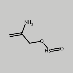 C=C(N)CO[SH]=O